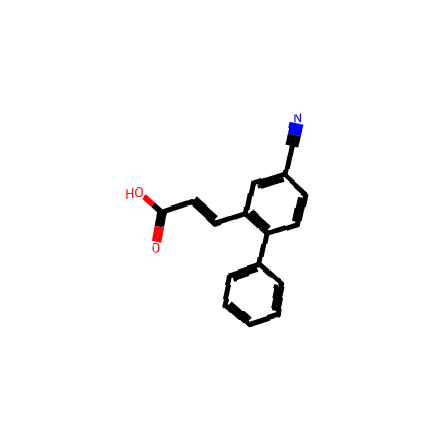 N#Cc1ccc(-c2ccccc2)c(C=CC(=O)O)c1